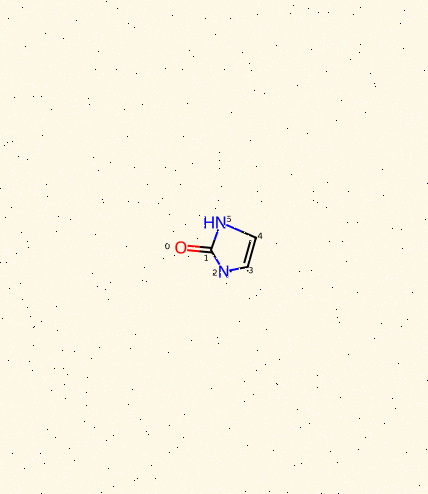 O=C1[N][C]=CN1